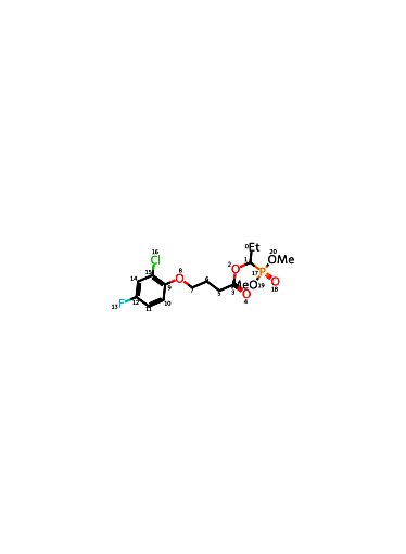 CCC(OC(=O)CCCOc1ccc(F)cc1Cl)P(=O)(OC)OC